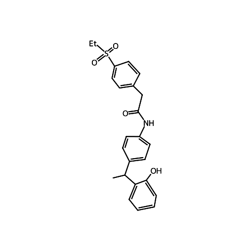 CCS(=O)(=O)c1ccc(CC(=O)Nc2ccc(C(C)c3ccccc3O)cc2)cc1